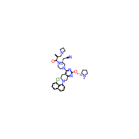 C=C(CN1CCC1)C(=O)N1CCN(c2nc(OC[C@@H]3CCCN3C)nc3c2CCN(c2cccc4cccc(Cl)c24)C3)C[C@@H]1CC#N